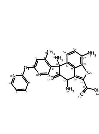 Cc1cc(Oc2ccccn2)ncc1C1(N)C(=O)C(N)c2c(C(=O)O)sc3c(N)ccc1c23